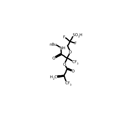 C=C(C(=O)OC(OCC(F)(F)S(=O)(=O)O)(C(=O)NCCCC)C(F)(F)F)C(F)(F)F